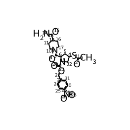 CC(=O)SC1CC(C(=O)N2CCC(C(N)=O)CC2)N(C(=O)OCc2ccc([N+](=O)[O-])cc2)C1